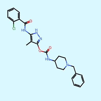 Cc1c(OC(=O)NC2CCN(Cc3ccccc3)CC2)n[nH]c1NC(=O)c1ccccc1Cl